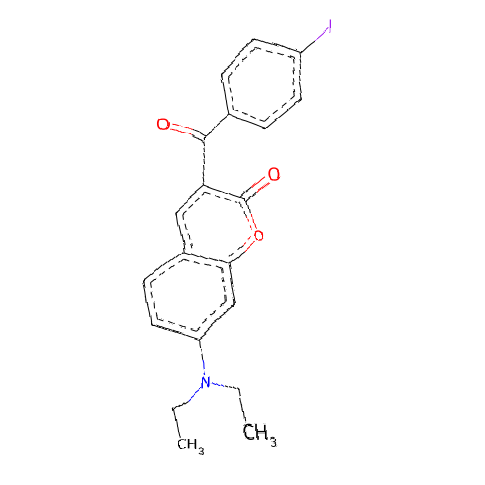 CCN(CC)c1ccc2cc(C(=O)c3ccc(I)cc3)c(=O)oc2c1